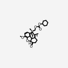 COc1ccc2c3c1O[C@H]1C(=O)CC[C@@H](C(C)C2)[C@@]31CCN(C)COC(=O)OC1CCCCC1